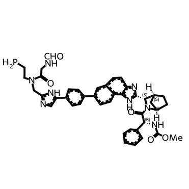 COC(=O)N[C@@H](C(=O)N1[C@@H]2CC[C@@H](C2)[C@H]1c1nc2ccc3cc(-c4ccc(-c5cnc(CN(CCP)C(=O)CNC=O)[nH]5)cc4)ccc3c2[nH]1)c1ccccc1